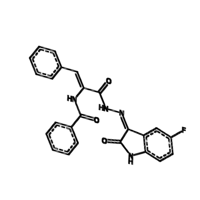 O=C(NN=C1C(=O)Nc2ccc(F)cc21)C(=Cc1ccccc1)NC(=O)c1ccccc1